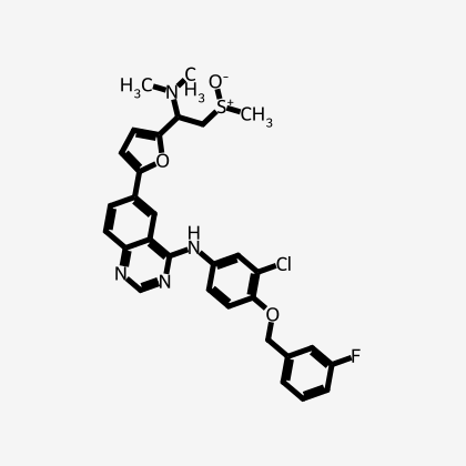 CN(C)C(C[S+](C)[O-])c1ccc(-c2ccc3ncnc(Nc4ccc(OCc5cccc(F)c5)c(Cl)c4)c3c2)o1